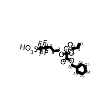 C=CC(=O)OC(OCCCC(F)(F)C(F)(F)S(=O)(=O)O)(C(=O)OCc1ccccc1)C(F)(F)F